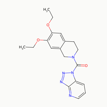 CCOc1cc2c(cc1OCC)CN(C(=O)n1nnc3ncccc31)CC2